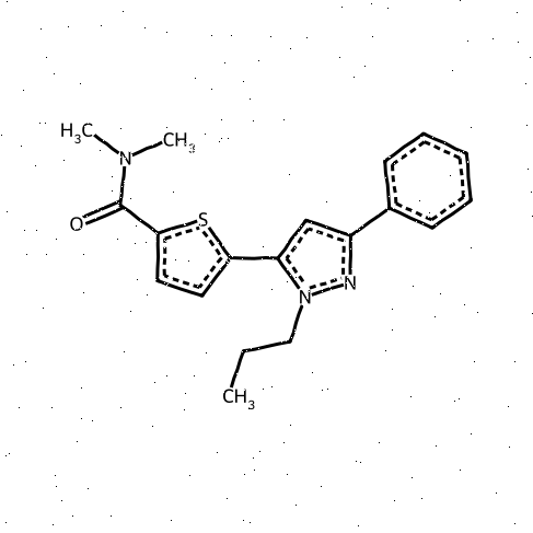 CCCn1nc(-c2ccccc2)cc1-c1ccc(C(=O)N(C)C)s1